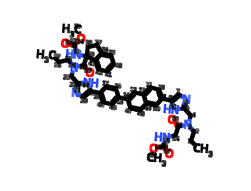 CCCN(Cc1ncc(-c2ccc3cc(-c4ccc(-c5cnc(CN(CCC)C(=O)C6(NC(=O)OC)CCc7ccccc76)[nH]5)cc4)ccc3c2)[nH]1)C(=O)CNC(=O)OC